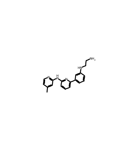 Cc1ccnc(Nc2cccc(-c3cccc(NCCN)c3)n2)c1